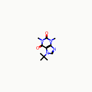 Cn1c(=O)c2c(ncn2C(C)(C)C)n(C)c1=O